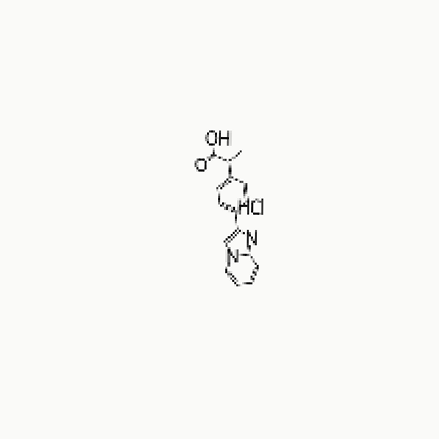 CC(C(=O)O)c1ccc(-c2cn3ccccc3n2)cc1.Cl